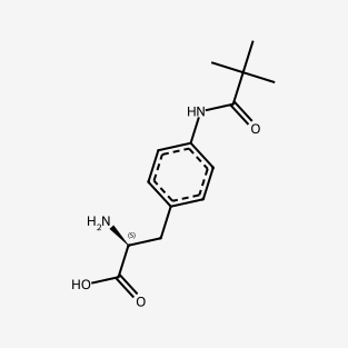 CC(C)(C)C(=O)Nc1ccc(C[C@H](N)C(=O)O)cc1